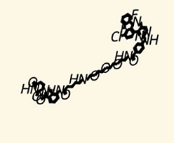 O=C1CCC(N2Cc3c(NC(=O)CCCCNCCOCCOCCOCCNC(=O)c4ccc(Nc5ncc6c(n5)-c5ccc(Cl)cc5C(c5c(F)cccc5F)=NC6)cc4)cccc3C2=O)C(=O)N1